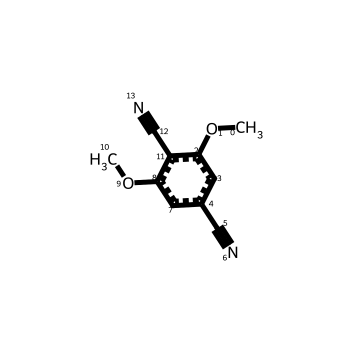 COc1cc(C#N)cc(OC)c1C#N